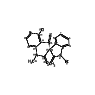 C=C1N(CC)c2ccccc2[C@@]12C(=O)c1c(Cl)cccc1N(C)C2=O